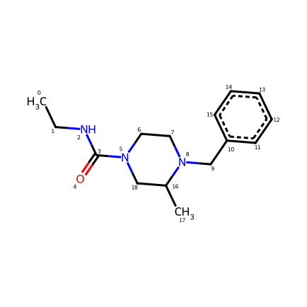 CCNC(=O)N1CCN(Cc2ccccc2)C(C)C1